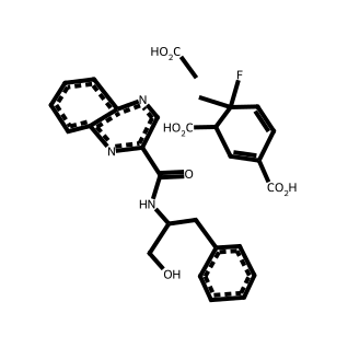 CC(=O)O.CC1(F)C=CC(C(=O)O)=CC1C(=O)O.O=C(NC(CO)Cc1ccccc1)c1cnc2ccccc2n1